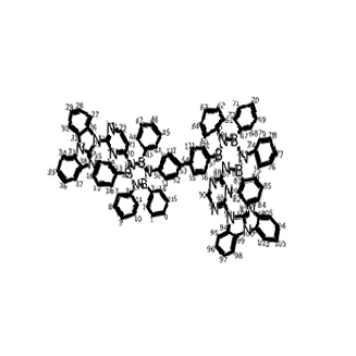 c1ccc(B2N(c3ccccc3)B(c3ccccc3)N(c3ccnc(-n4c5ccccc5n5c6ccccc6nc45)n3)B(c3ccccc3)N2c2ccc(-c3ccc(B4N(c5ccccc5)B(c5ccccc5)N(c5ccccc5)B(c5ccccc5)N4c4ncnc(-n5c6ccccc6n6c7ccccc7nc56)n4)cc3)cc2)cc1